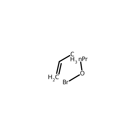 C=CC.CCCOBr